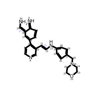 N=C1C=CC(c2ccncc2/C=C/Nc2ccc(CN3CCOCC3)cc2)=C/C1=C/N